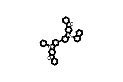 c1ccc(-n2c3ccc(-c4ccc5c(c4)c4cc6c(cc4n5-c4cccc5ccccc45)oc4ccccc46)cc3c3cc4c(cc32)oc2ccccc24)cc1